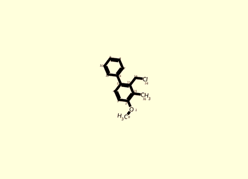 COc1ccc(-c2ccccc2)c(CCl)c1C